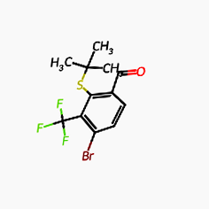 CC(C)(C)Sc1c(C=O)ccc(Br)c1C(F)(F)F